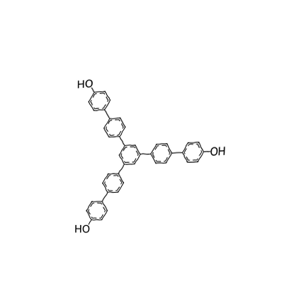 Oc1ccc(-c2ccc(-c3cc(-c4ccc(-c5ccc(O)cc5)cc4)cc(-c4ccc(-c5ccc(O)cc5)cc4)c3)cc2)cc1